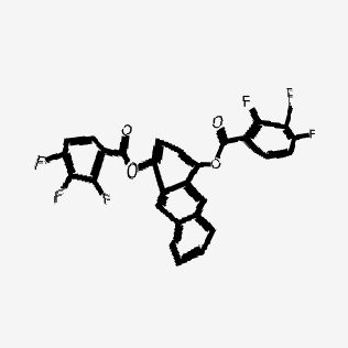 O=C(Oc1ccc(OC(=O)c2ccc(F)c(F)c2F)c2cc3ccccc3cc12)c1ccc(F)c(F)c1F